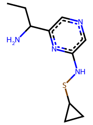 CCC(N)c1cncc(NSC2CC2)n1